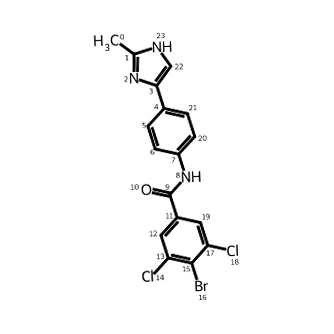 Cc1nc(-c2ccc(NC(=O)c3cc(Cl)c(Br)c(Cl)c3)cc2)c[nH]1